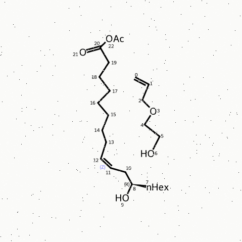 C=CCOCCO.CCCCCC[C@@H](O)C/C=C\CCCCCCCC(=O)OC(C)=O